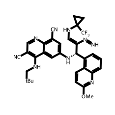 COc1ccc2c([C@H](Nc3cc(C#N)c4ncc(C#N)c(NCC(C)(C)C)c4c3)/C(=C/NC3(C(F)(F)F)CC3)N=N)cccc2n1